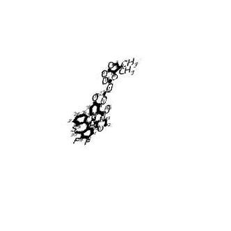 CC1(C)COC(=O)[C@@H]1OC(=O)OCOc1c2n(ccc1=O)N([C@@H]1c3ccccc3SCc3c1ccc(F)c3F)[C@@H]1COCCN1C2=O